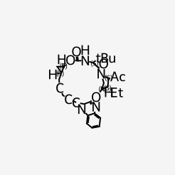 CC[C@@H]1[C@@H]2CN(C(=O)[C@H](C(C)(C)C)NC(=O)O[C@@H]3C[C@H]3CCCCCc3nc4ccccc4nc3O2)[C@@H]1C(C)=O